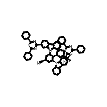 N#Cc1cc(-n2c3ccccc3c3ccc(-c4nc(-c5ccccc5)nc(-c5ccccc5)n4)cc32)c(-c2cccc(C(F)(F)F)c2)c(-n2c3ccccc3c3ccc(-c4nc(-c5ccccc5)nc(-c5ccccc5)n4)cc32)c1